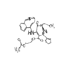 CCn1nc(-c2cccs2)c(C(=O)OCCOC(C)=O)c(Nc2cncc3ccccc23)c1=O